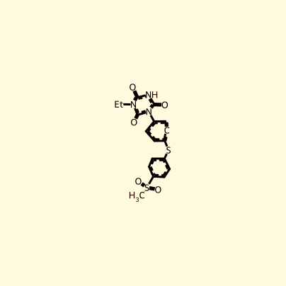 CCn1c(=O)[nH]c(=O)n(-c2ccc(Sc3ccc(S(C)(=O)=O)cc3)cc2)c1=O